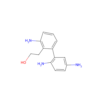 Nc1ccc(N)c(-c2cccc(N)c2CCO)c1